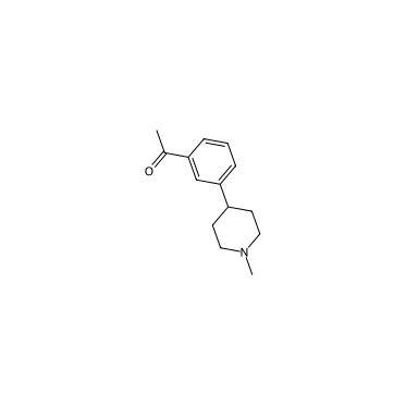 CC(=O)c1cccc(C2CCN(C)CC2)c1